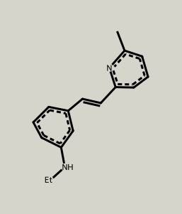 CCNc1cccc(C=Cc2cccc(C)n2)c1